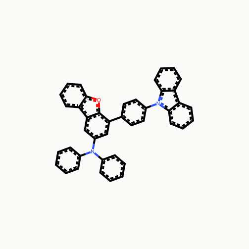 c1ccc(N(c2ccccc2)c2cc(-c3ccc(-n4c5ccccc5c5ccccc54)cc3)c3oc4ccccc4c3c2)cc1